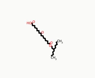 CCCCCC(CCCCC)CCOC(=O)CCCCCCCC(=O)CCCCCCCC(=O)O